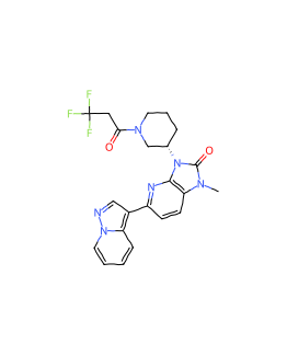 Cn1c(=O)n([C@H]2CCCN(C(=O)CC(F)(F)F)C2)c2nc(-c3cnn4ccccc34)ccc21